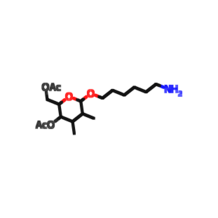 CC(=O)OCC1OC(OCCCCCCN)C(C)C(C)C1OC(C)=O